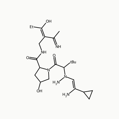 CC/C(O)=C(\CNC(=O)C1CC(O)CN1C(=O)C(N(N)/C=C(\N)C1CC1)C(C)(C)C)C(C)=N